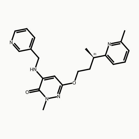 Cc1cccc([C@H](C)CCOc2cc(NCc3cccnc3)c(=O)n(C)n2)n1